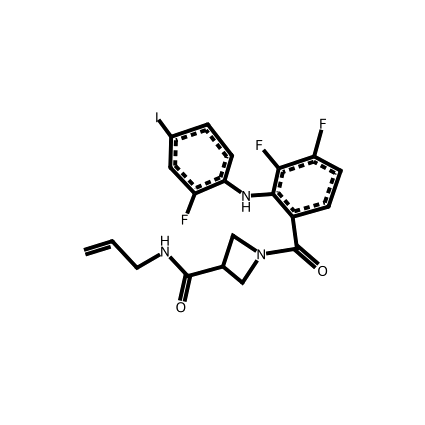 C=CCNC(=O)C1CN(C(=O)c2ccc(F)c(F)c2Nc2ccc(I)cc2F)C1